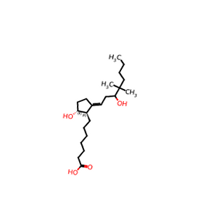 CCCCC(C)(C)C(O)CC=C1CC[C@@H](O)[C@@H]1CCCCCCC(=O)O